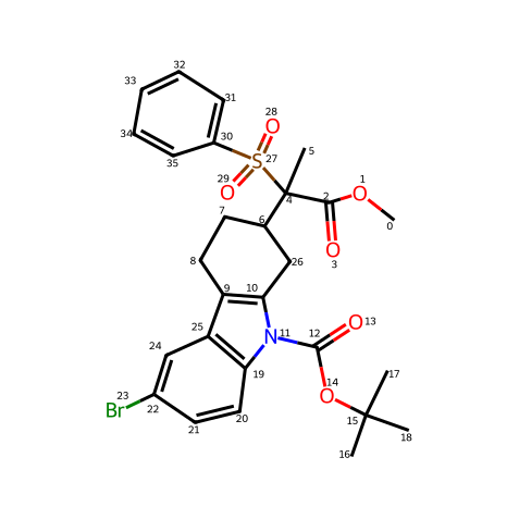 COC(=O)C(C)(C1CCc2c(n(C(=O)OC(C)(C)C)c3ccc(Br)cc23)C1)S(=O)(=O)c1ccccc1